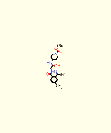 CC(C)c1nn(CC(O)NC2CCN(C(=O)OC(C)(C)C)CC2)c(=O)c2ccc(C(F)(F)F)cc12